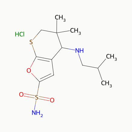 CC(C)CNC1c2cc(S(N)(=O)=O)oc2SCC1(C)C.Cl